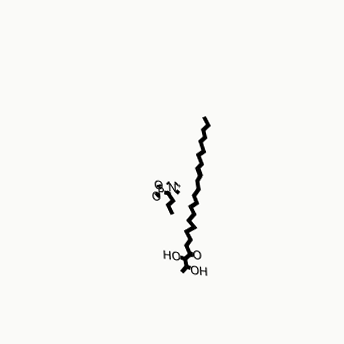 CCCC(P(=O)=O)[N+](C)(C)C.CCCCCCCCC=CCCCCCCCCCCCC(=O)C(O)C(C)O